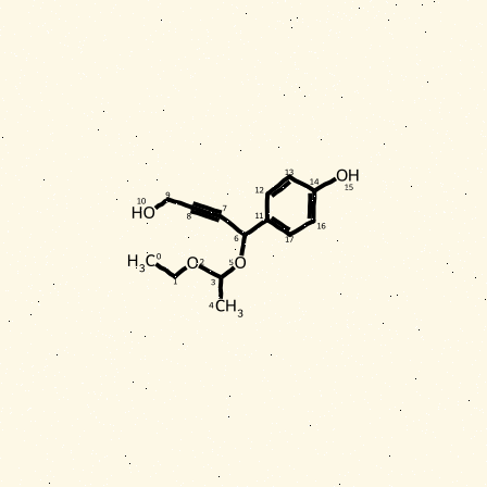 CCOC(C)OC(C#CCO)c1ccc(O)cc1